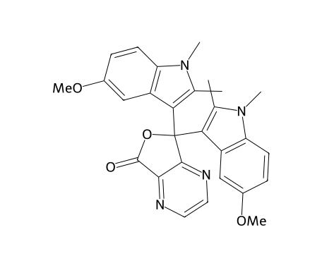 COc1ccc2c(c1)c(C1(c3c(C)n(C)c4ccc(OC)cc34)OC(=O)c3nccnc31)c(C)n2C